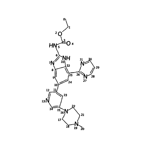 CCOC(=O)Nc1nc2cc(-c3cncc(N4CCN(C)CC4)c3)cc(-c3ncccn3)c2[nH]1